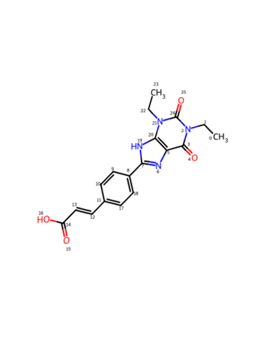 CCn1c(=O)c2nc(-c3ccc(/C=C/C(=O)O)cc3)[nH]c2n(CC)c1=O